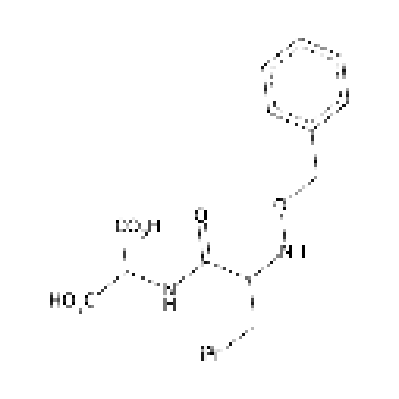 CC(C)CC(NOCc1ccccc1)C(=O)NC(C(=O)O)C(=O)O